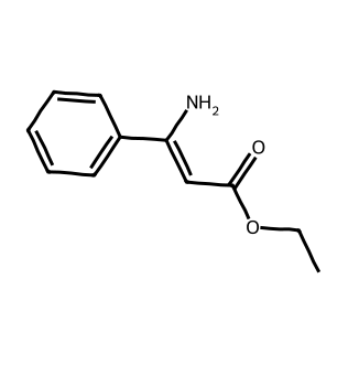 CCOC(=O)C=C(N)c1ccccc1